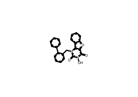 O=c1c2oc3ccccc3c2n(Cc2ccccc2-c2ccccc2)c(=O)n1O